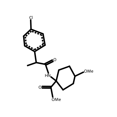 COC(=O)C1(NC(=O)C(C)c2ccc(Cl)cc2)CCC(OC)CC1